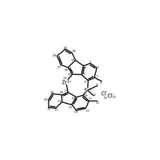 Cc1ccc2c3c1[Si](C)(C)c1c(C)ccc4c1[C](=C1C=CC=CC14)[Zr+2][C]3=C1C=CC=CC12.[Cl-].[Cl-]